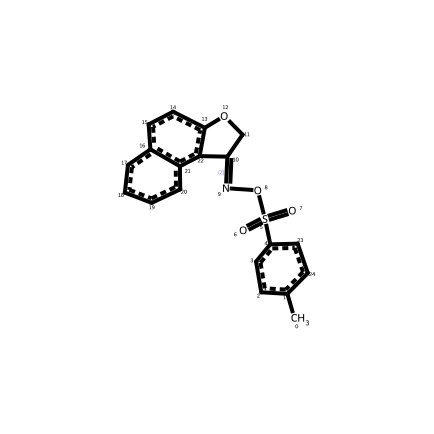 Cc1ccc(S(=O)(=O)O/N=C2\COc3ccc4ccccc4c32)cc1